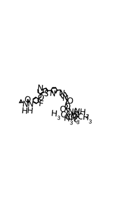 CC(C)C(NC(=O)[C@@H](N)C(C)C)C(=O)OCC(=O)N1CCN(Cc2ccc(-c3cc4nccc(Oc5ccc(NC(=O)NC6CC6)cc5F)c4s3)nc2)CC1